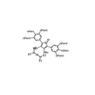 CCCCCCc1c(CCCCC)cc(C2=C(CCCC)C(CCCC)=C(c3cc(CCCCC)c(CCCCCC)c(CCCCC)c3)[N+]2=[N-])cc1CCCCC.CC[N](CC)[Ni][N](CC)CC